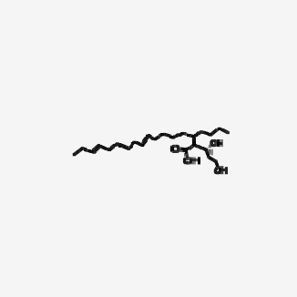 CCC=CCC=CCC=CCCCCC(CCCC)C(C(=O)O)[C@H](O)CCO